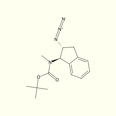 CN(C(=O)OC(C)(C)C)[C@@H]1c2ccccc2C[C@H]1N=[N+]=[N-]